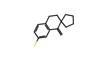 C=C1c2cc(F)ccc2CCC12CCCC2